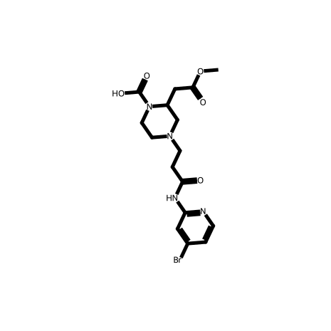 COC(=O)CC1CN(CCC(=O)Nc2cc(Br)ccn2)CCN1C(=O)O